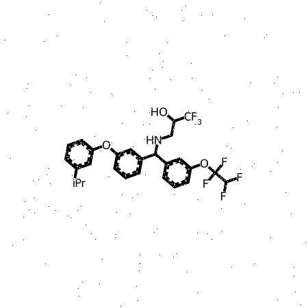 CC(C)c1cccc(Oc2cccc(C(NCC(O)C(F)(F)F)c3cccc(OC(F)(F)C(F)F)c3)c2)c1